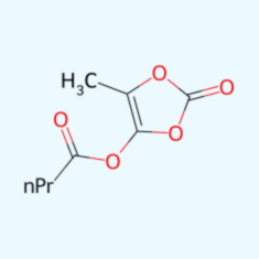 CCCC(=O)Oc1oc(=O)oc1C